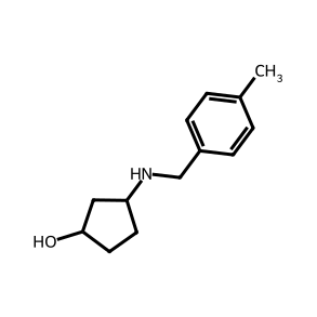 Cc1ccc(CNC2CCC(O)C2)cc1